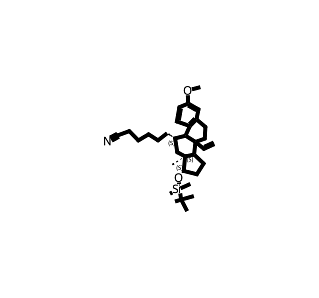 C=CC12CCc3cc(OC)ccc3C1[C@@H](CCCCCC#N)C[C@@]1(C)C2CC[C@@H]1O[Si](C)(C)C(C)(C)C